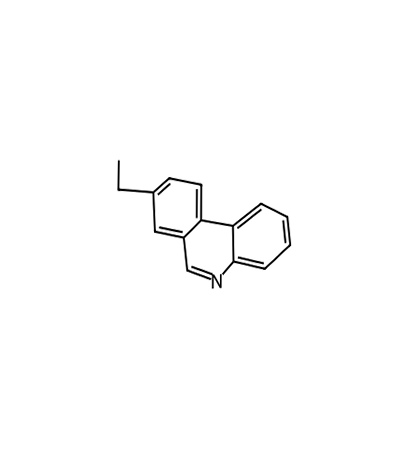 CCc1ccc2c(cnc3ccccc32)c1